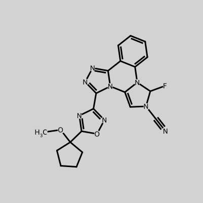 COC1(c2nc(-c3nnc4n3C3=CN(C#N)C(F)N3c3ccccc3-4)no2)CCCC1